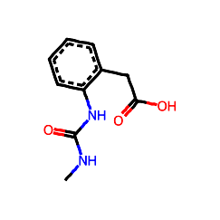 CNC(=O)Nc1ccccc1CC(=O)O